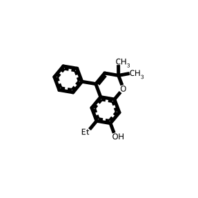 CCc1cc2c(cc1O)OC(C)(C)C=C2c1ccccc1